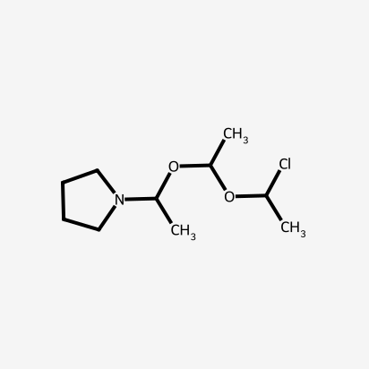 CC(Cl)OC(C)OC(C)N1CCCC1